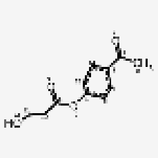 CC(=O)c1ccc(OC(=O)CCO)cc1